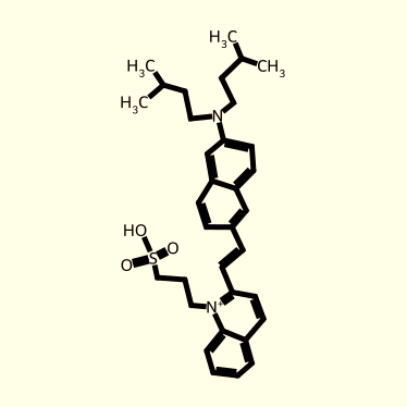 CC(C)CCN(CCC(C)C)c1ccc2cc(C=Cc3ccc4ccccc4[n+]3CCCS(=O)(=O)O)ccc2c1